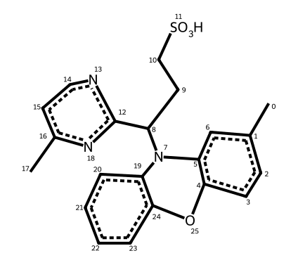 Cc1ccc2c(c1)N(C(CCS(=O)(=O)O)c1nccc(C)n1)c1ccccc1O2